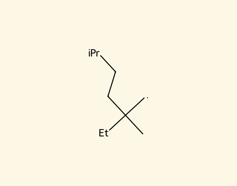 [CH2]C(C)(CC)CCC(C)C